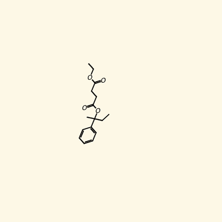 CCOC(=O)CCC(=O)OC(C)(CC)c1ccccc1